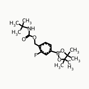 CC(C)(C)NC(=O)OCc1ccc(B2OC(C)(C)C(C)(C)O2)cc1F